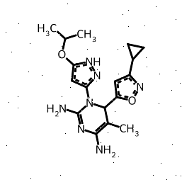 CC1=C(N)N=C(N)N(c2cc(OC(C)C)[nH]n2)C1c1cc(C2CC2)no1